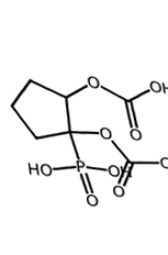 O=C(O)OC1CCCC1(OC(=O)O)P(=O)(O)O